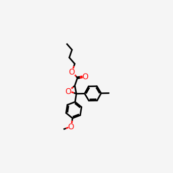 CCCCOC(=O)C1OC1(c1ccc(C)cc1)c1ccc(OC)cc1